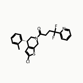 Cc1ccccc1[C@@H]1CN(C(=O)CCC(F)(F)c2ccccn2)Cc2sc(Cl)cc21